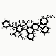 COc1ccc(C2(c3ccccc3)C=Cc3c4c(c5ccccc5c3O2)-c2c(cc(C(C)(C)c3ccccc3)c3c2C(O)OC3=O)C4(C)C)cc1